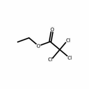 CCOC(=O)C(Cl)(Cl)Cl